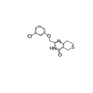 O=c1[nH]c(COc2cccc(Cl)c2)nc2c1CSCC2